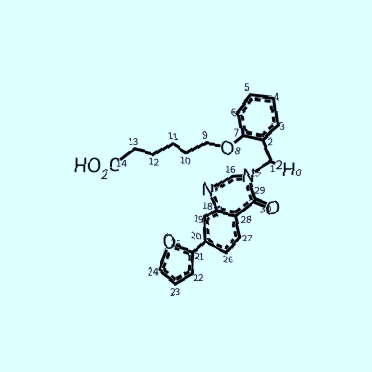 [2H]C(c1ccccc1OCCCCCC(=O)O)n1cnc2cc(-c3ccco3)ccc2c1=O